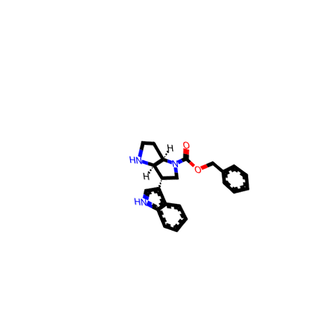 O=C(OCc1ccccc1)N1C[C@H](c2c[nH]c3ccccc23)[C@H]2NCC[C@H]21